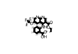 CCOC(=O)c1cnc2ncc(OC(F)(F)F)cc2c1Nc1ccccc1C(=O)O